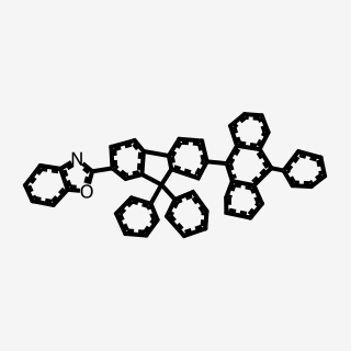 c1ccc(-c2c3ccccc3c(-c3ccc4c(c3)C(c3ccccc3)(c3ccccc3)c3cc(-c5nc6ccccc6o5)ccc3-4)c3ccccc23)cc1